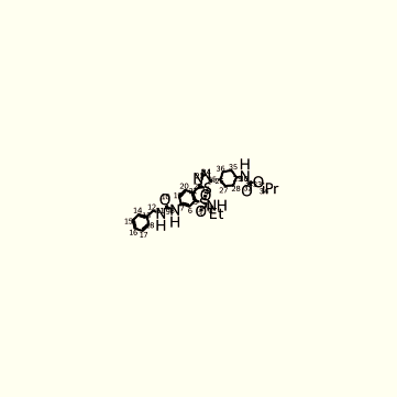 CCNS(=O)(=O)c1cc(NC(=O)NCc2ccccc2)ccc1-c1nnc([C@H]2CC[C@H](NC(=O)OC(C)C)CC2)s1